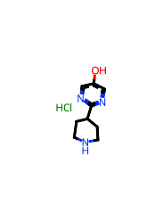 Cl.Oc1cnc(C2CCNCC2)nc1